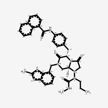 CCCN(C(=O)NC)N1CC(=O)N2[C@@H](Cc3ccc(NC(=O)c4cccc5ccccc45)cc3)C(=O)N(Cc3cccc4sc(N)nc34)C[C@@H]21